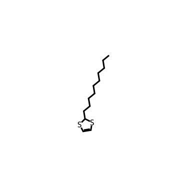 CCCCCCCCCCC1SC=CS1